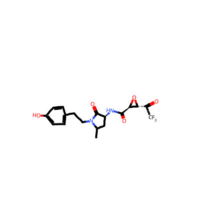 CC1C[C@H](NC(=O)[C@H]2O[C@@H]2C(=O)C(F)(F)F)C(=O)N1CCc1ccc(O)cc1